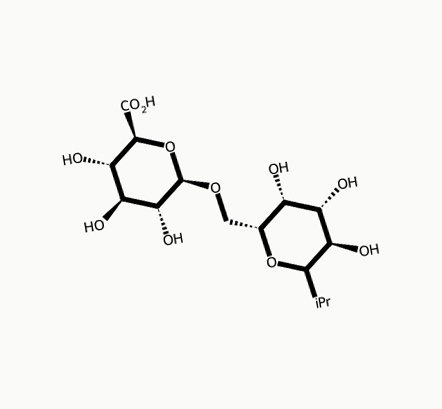 CC(C)C1O[C@H](CO[C@@H]2O[C@H](C(=O)O)[C@@H](O)[C@H](O)[C@H]2O)[C@H](O)[C@H](O)[C@H]1O